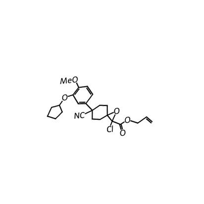 C=CCOC(=O)C1(Cl)OC12CCC(C#N)(c1ccc(OC)c(OC3CCCC3)c1)CC2